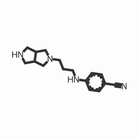 N#Cc1ccc(NCCCN2CC3CNCC3C2)cc1